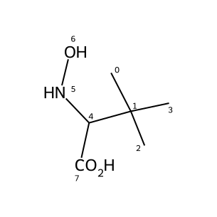 CC(C)(C)C(NO)C(=O)O